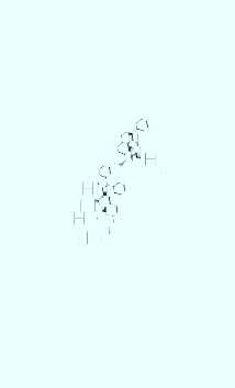 C=Nc1c(/C=C\Cc2cccc(C3NC4=CNC5C(=C4c4ccccc43)C=CC(CCCC)C5C)c2)ccc2ccc(-c3ccccc3)nc12